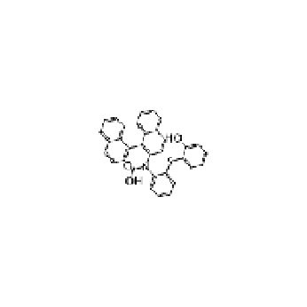 O=C(O)N(c1ccccc1Sc1ccccc1O)c1ccc2ccccc2c1-c1cccc2ccccc12